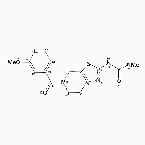 CNC(=O)Nc1nc2c(s1)CN(C(=O)c1cccc(OC)c1)CC2